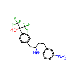 Nc1ccc2c(c1)CCC(Cc1ccc(C(O)(C(F)(F)F)C(F)(F)F)cc1)N2